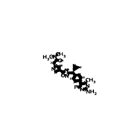 Cc1nc(N)nc(F)c1-c1ccc([C@H](c2noc(-c3cnn(CC(=O)N(C)C)c3)n2)C2CC2)cc1